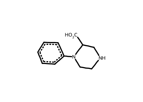 O=C(O)C1CNCCN1c1ccccc1